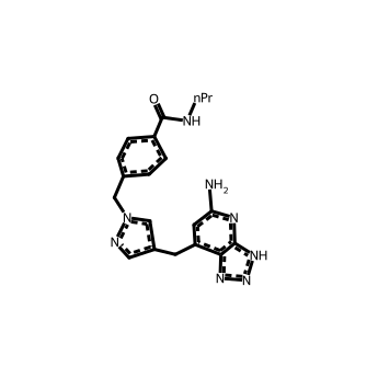 CCCNC(=O)c1ccc(Cn2cc(Cc3cc(N)nc4[nH]nnc34)cn2)cc1